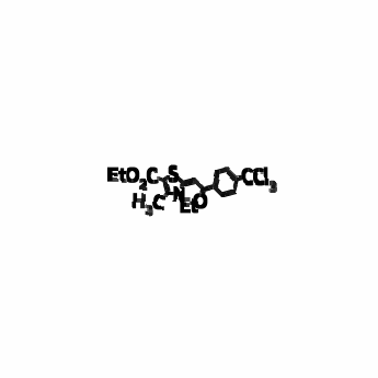 CCOC(=O)C1=C(C)N(CC)C(=CC(=O)c2ccc(C(Cl)(Cl)Cl)cc2)S1